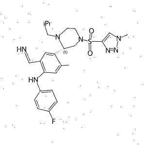 Cc1cc(Nc2ccc(F)cc2)c(C=N)cc1[C@H]1CN(S(=O)(=O)c2cn(C)nn2)CCN1CC(C)C